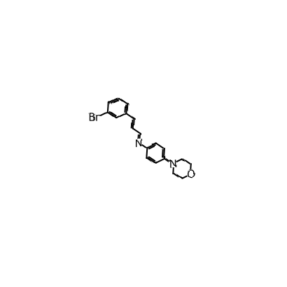 Brc1cccc(C=CC=Nc2ccc(N3CCOCC3)cc2)c1